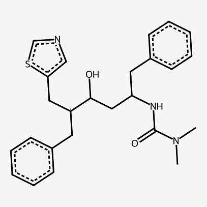 CN(C)C(=O)NC(Cc1ccccc1)CC(O)[C](Cc1ccccc1)Cc1cncs1